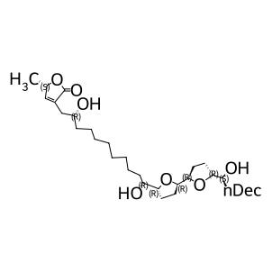 CCCCCCCCCC[C@H](O)[C@H]1CC[C@H]([C@H]2CC[C@H]([C@H](O)CCCCCCCC[C@@H](O)CC3=C[C@H](C)OC3=O)O2)O1